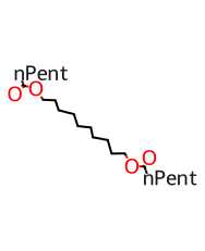 CCCCCC(=O)OCCCCCCCCCCOC(=O)CCCCC